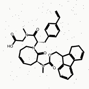 C=Cc1ccc(C[C@@H](C(=O)N(C)CC(=O)O)N2CC/C=C\C[C@H](N(C)C(=O)OCC3C4=C(C=CCC4)c4ccccc43)C2=O)cc1